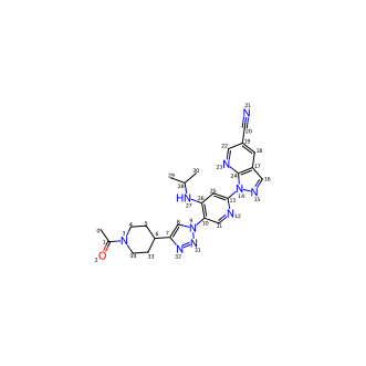 CC(=O)N1CCC(c2cn(-c3cnc(-n4ncc5cc(C#N)cnc54)cc3NC(C)C)nn2)CC1